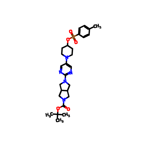 Cc1ccc(S(=O)(=O)OC2CCN(c3cnc(N4CC5CN(C(=O)OC(C)(C)C)CC5C4)nc3)CC2)cc1